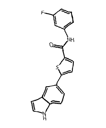 O=C(Nc1cccc(F)c1)c1ccc(-c2ccc3[nH]ccc3c2)s1